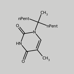 CCCCCC(C)(CCCCC)n1cc(C)c(=O)[nH]c1=O